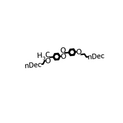 CCCCCCCCCCCCCOc1ccc(C(=O)Oc2ccc(C(C)OCCCCCCCCCCCC)cc2)cc1